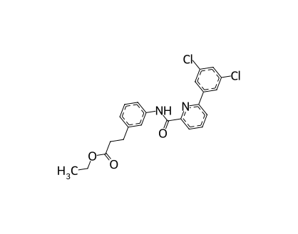 CCOC(=O)CCc1cccc(NC(=O)c2cccc(-c3cc(Cl)cc(Cl)c3)n2)c1